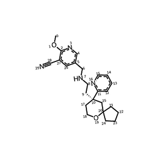 COc1ncc(CNCC[C@@]2(c3ccccn3)CCOC3(CCCC3)C2)cc1C#N